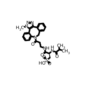 CC(C)C(=O)N[C@@H](CS(=O)(=O)O)C(=O)NCCC(=O)N1Cc2ccccc2-c2nnn(C)c2-c2ccccc21